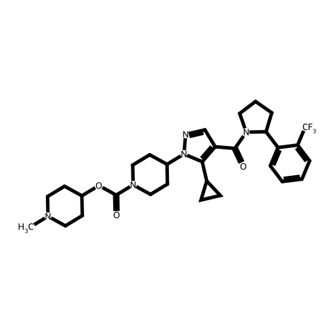 CN1CCC(OC(=O)N2CCC(n3ncc(C(=O)N4CCCC4c4ccccc4C(F)(F)F)c3C3CC3)CC2)CC1